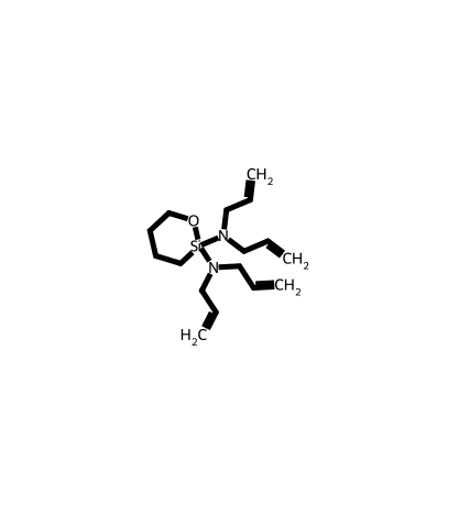 C=CCN(CC=C)[Si]1(N(CC=C)CC=C)CCCCO1